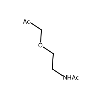 CC(=O)COCCNC(C)=O